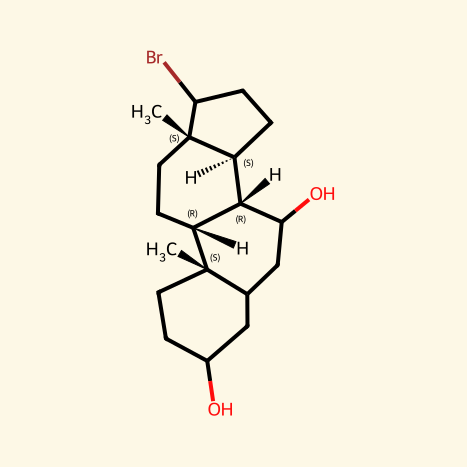 C[C@]12CCC(O)CC1CC(O)[C@@H]1[C@H]2CC[C@]2(C)C(Br)CC[C@@H]12